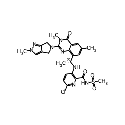 Cc1cc([C@@H](C)Nc2ccc(Cl)nc2C(=O)NS(C)(=O)=O)c2nc(N3Cc4cn(C)nc4C3)n(C)c(=O)c2c1